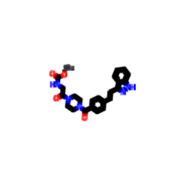 CC(C)(C)OC(=O)NCC(=O)N1CCN(C(=O)c2ccc(C=Cc3n[nH]c4ccccc34)cc2)CC1